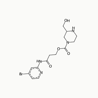 O=C(CCOC(=O)N1CCNC(CO)C1)Nc1cc(Br)ccn1